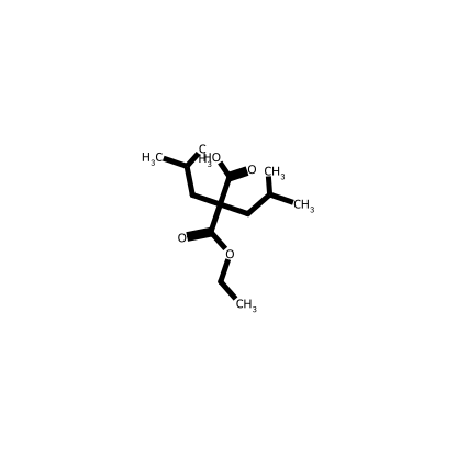 CCOC(=O)C(CC(C)C)(CC(C)C)C(=O)O